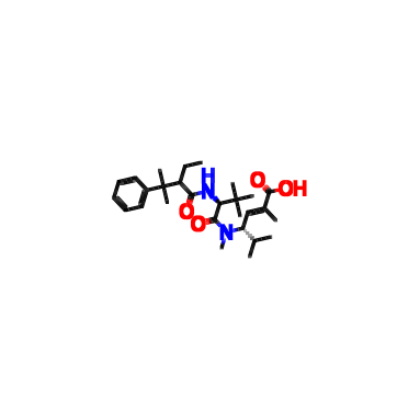 CCC(C(=O)N[C@H](C(=O)N(C)[C@H](/C=C(\C)C(=O)O)C(C)C)C(C)(C)C)C(C)(C)c1ccccc1